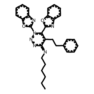 CCCCCCN=c1nnn(-c2nc3ccccc3o2)c(-c2nc3ccccc3o2)c1CCc1ccccc1